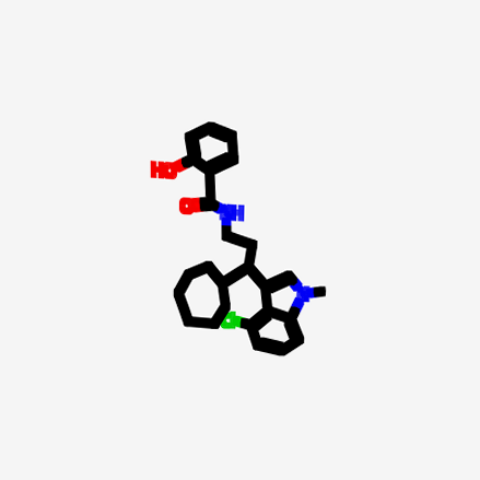 Cn1cc(C(CCNC(=O)c2ccccc2O)C2CCCCCC2)c2c(Cl)cccc21